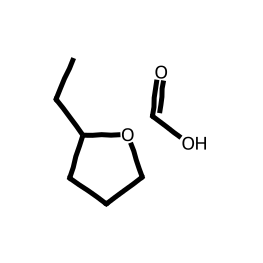 CCC1CCCO1.O=CO